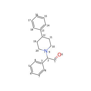 O=[C]C(c1ccccc1)N1CCC(c2ccccc2)CC1